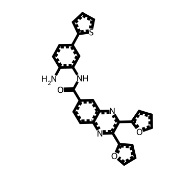 Nc1ccc(-c2cccs2)cc1NC(=O)c1ccc2nc(-c3ccco3)c(-c3ccco3)nc2c1